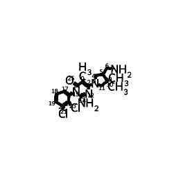 Cc1c(N2CC(CN)C(C)(C)C2)nc(N)n(-c2cccc(Cl)c2Cl)c1=O